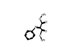 CCCOC(=O)C(=Nc1ccccc1)C(=O)OCCC